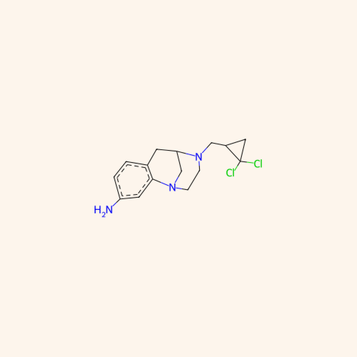 Nc1ccc2c(c1)N1CCN(CC3CC3(Cl)Cl)C(C2)C1